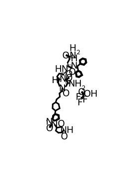 Cn1c(=O)n(C2CCC(=O)NC2=O)c2ccc(C3CCC(CCCC(=O)N4CC[C@H]5CC[C@@H](C(=O)N[C@@H](CCC(N)=O)C(=O)NC(c6ccccc6)c6ccccc6)N5C(=O)[C@@H](N)C4)CC3)cc21.O=C(O)C(F)(F)F